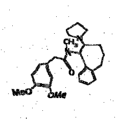 COc1ccc(CC(=O)N(C)C2c3ccccc3CCCC2N2CCCC2)cc1OC